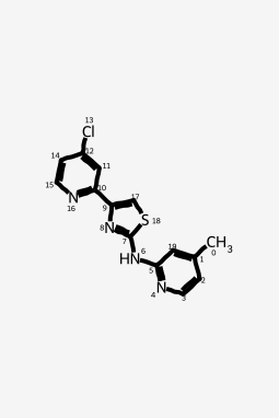 Cc1ccnc(Nc2nc(-c3cc(Cl)ccn3)cs2)c1